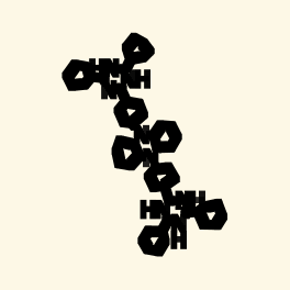 c1ccc(C2N=C(c3ccc(N4c5ccccc5N(c5ccc(C6NC(c7ccccc7)NC(c7ccccc7)N6)cc5)c5ccccc54)cc3)NC(c3ccccc3)N2)cc1